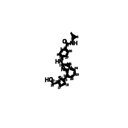 O=C(NC1CC1)c1ccc(Nc2nc3c(-c4ccc(CO)s4)cccn3n2)cc1